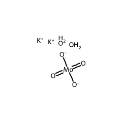 O.O.[K+].[K+].[O]=[Mo](=[O])([O-])[O-]